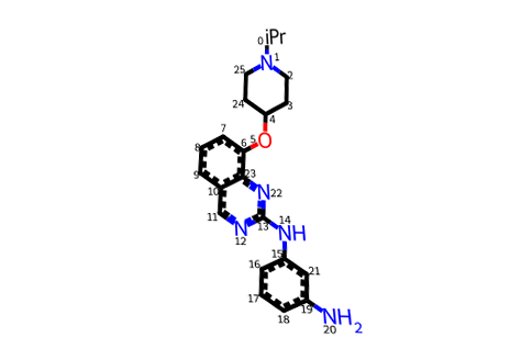 CC(C)N1CCC(Oc2cccc3cnc(Nc4cccc(N)c4)nc23)CC1